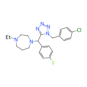 CCN1CCCN(C(c2ccc(F)cc2)c2nnnn2Cc2ccc(Cl)cc2)CC1